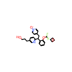 C1C2CC1O2.[O-][n+]1ccc(CC(c2ccc(CCCO)cn2)c2ccccc2OC(F)F)cc1